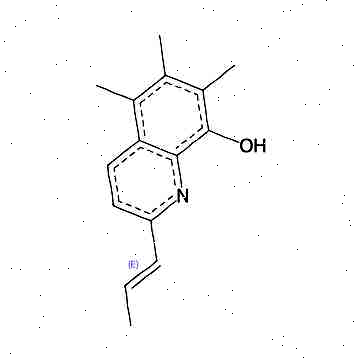 C/C=C/c1ccc2c(C)c(C)c(C)c(O)c2n1